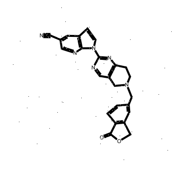 N#Cc1cnc2c(ccn2-c2ncc3c(n2)CCN(Cc2ccc4c(c2)COC4=O)C3)c1